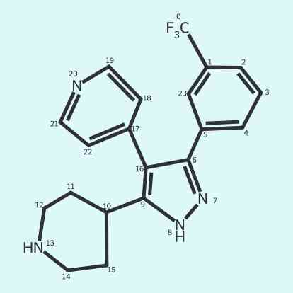 FC(F)(F)c1cccc(-c2n[nH]c(C3CCNCC3)c2-c2ccncc2)c1